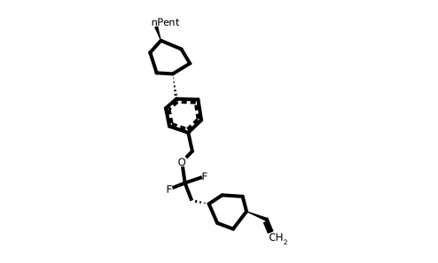 C=C[C@H]1CC[C@H](CC(F)(F)OCc2ccc([C@H]3CC[C@H](CCCCC)CC3)cc2)CC1